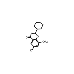 CC(=O)Oc1cc(Cl)cc2c(=O)cc(C3CCCCC3)oc12